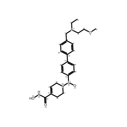 CCN(CCOC)Cc1ccc(-c2ccc([S+]([O-])N3CC=C(C(=O)NO)CC3)cc2)cc1